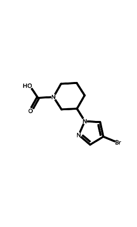 O=C(O)N1CCCC(n2cc(Br)cn2)C1